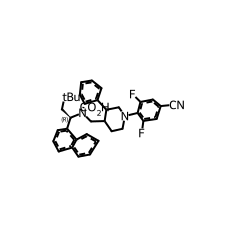 CC(C)(C)C[C@H](c1cccc2ccccc12)N(CC1CCN(c2c(F)cc(C#N)cc2F)CC1c1ccccc1)C(=O)O